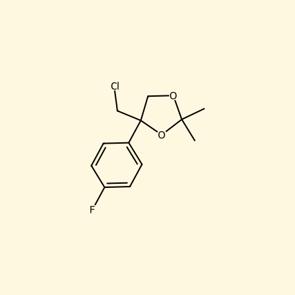 CC1(C)OCC(CCl)(c2ccc(F)cc2)O1